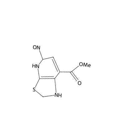 COC(=O)C1=CC(N=O)NC2=C1NCS2